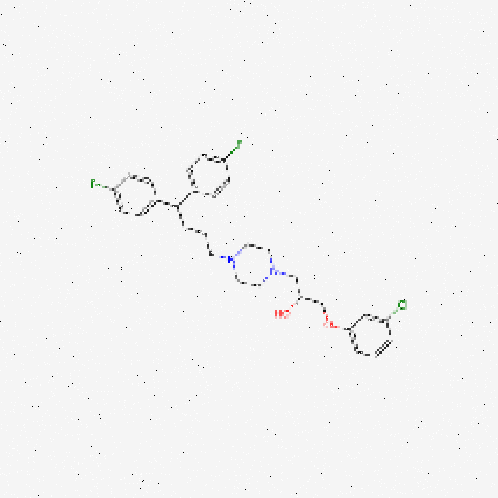 OC(COc1cccc(Cl)c1)CN1CCN(CCCC(c2ccc(F)cc2)c2ccc(F)cc2)CC1